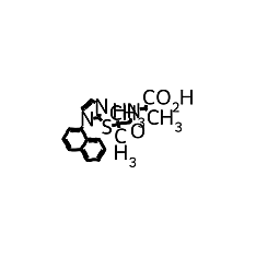 CC(NC(=O)C(C)(C)Sc1nccn1-c1cccc2ccccc12)C(=O)O